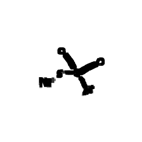 CCS(=O)(=O)[S-].[Na+]